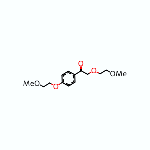 COCCOCC(=O)c1ccc(OCCOC)cc1